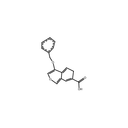 O=C(O)C1=CC2=COC=C(OCc3ccccc3)C2=CC1